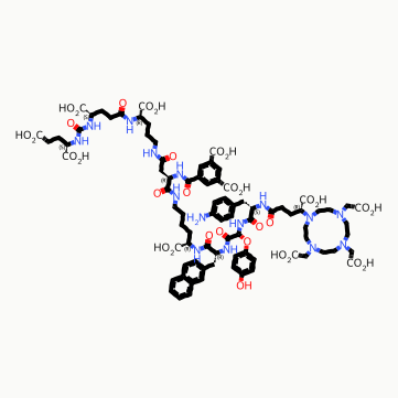 Nc1ccc(C[C@H](NC(=O)CC[C@H](C(=O)O)N2CCN(CC(=O)O)CCN(CC(=O)O)CCN(CC(=O)O)CC2)C(=O)NC(Oc2ccc(O)cc2)C(=O)N[C@H](Cc2ccc3ccccc3c2)C(=O)N[C@H](CCCCNC(=O)[C@@H](CC(=O)NCCC[C@@H](NC(=O)CC[C@H](NC(=O)N[C@@H](CCC(=O)O)C(=O)O)C(=O)O)C(=O)O)NC(=O)c2cc(C(=O)O)cc(C(=O)O)c2)C(=O)O)cc1